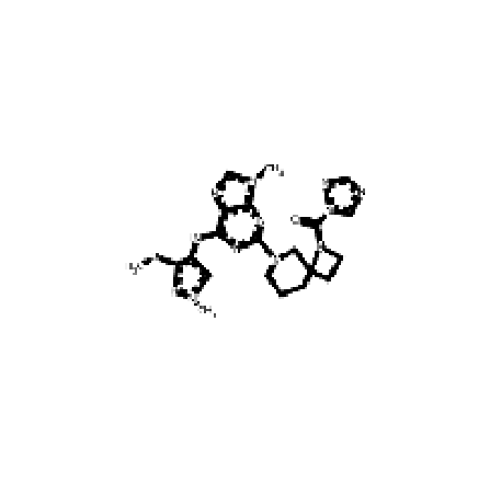 COc1nn(C)cc1Nc1nc(N2CCCC3(CCN3C(=O)n3cncn3)C2)nc2c1ncn2C